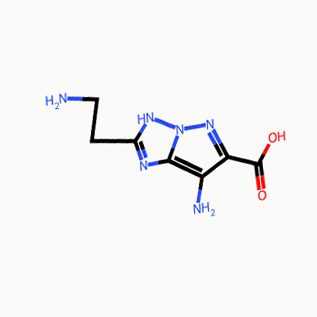 NCCc1nc2c(N)c(C(=O)O)nn2[nH]1